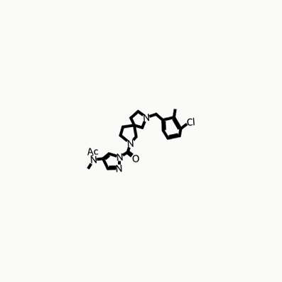 CC(=O)N(C)c1cnn(C(=O)N2CCC3(CCN(Cc4cccc(Cl)c4C)C3)C2)c1